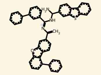 C=C(/N=C(\NC(N)c1ccc2c(c1)sc1ccccc12)c1cccc(-c2ccccc2)c1)c1ccc2c(c1)oc1cccc(-c3ccccc3)c12